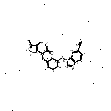 Cc1noc(N(CC2CCC[C@H](Cn3cnc4ccc(C#N)cc43)C2)C(=O)O)c1C